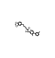 Cc1cccc(-c2cnc(NC(=O)CCCCc3ccc4c(c3)OCO4)cc2C)c1